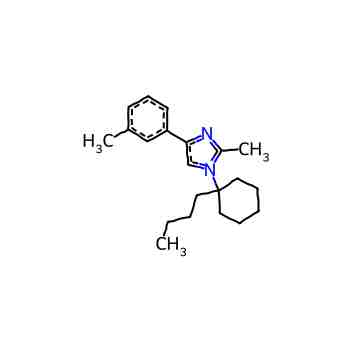 CCCCC1(n2cc(-c3cccc(C)c3)nc2C)CCCCC1